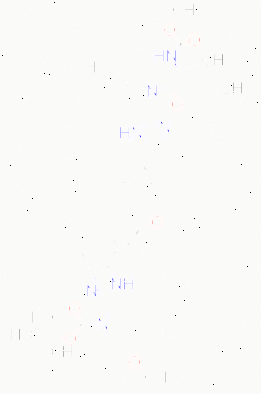 CCC(C)[C@H](NC(=O)OC)C(=O)N1C[C@@H](C)C[C@H]1c1ncc(-c2ccc3c(c2)COc2cc4c(ccc5nc([C@@H]6C[C@H](COC)CN6C(=O)OC(C)(C)C)[nH]c54)cc2-3)[nH]1